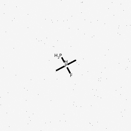 C[PH](C)(F)P